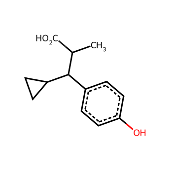 CC(C(=O)O)C(c1ccc(O)cc1)C1CC1